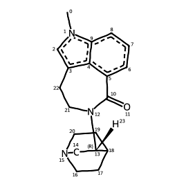 Cn1cc2c3c(cccc31)C(=O)N([C@H]1CN3CCC1CC3)CC2